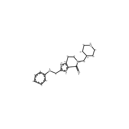 O=C1c2sc(COc3ccccc3)nc2CCN1CC1CCOCC1